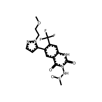 COCCn1nccc1-c1cc2c(=O)n(N[S+](C)[O-])c(=O)[nH]c2cc1C(F)(F)F